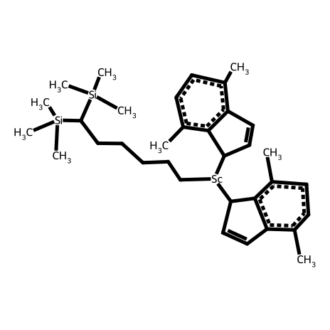 Cc1ccc(C)c2c1C=C[CH]2[Sc]([CH2]CCCC[C]([Si](C)(C)C)[Si](C)(C)C)[CH]1C=Cc2c(C)ccc(C)c21